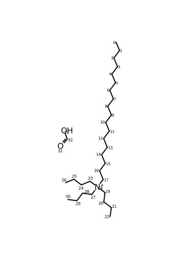 CCCCCCCCCCCCCCCCCC[N+](CCCC)(CCCC)CCCC.O=CO